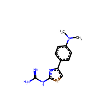 CN(C)c1ccc(-c2csc(NC(=N)N)n2)cc1